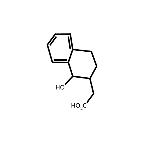 O=C(O)CC1CCc2ccccc2C1O